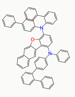 c1ccc(-c2ccc(N(c3ccccc3-c3ccccc3)c3ccc(N(c4ccccc4)c4ccc(-c5ccccc5-c5ccccc5)cc4)c4c3oc3cc5ccccc5cc34)cc2)cc1